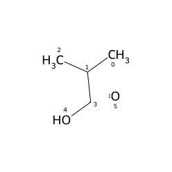 CC(C)CO.[O]